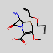 C=CCOCC=C.COC1=C(C(=O)O)N2C(=O)C(N)C2SC1